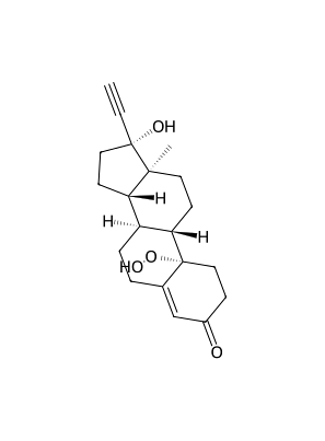 C#C[C@]1(O)CC[C@H]2[C@@H]3CCC4=CC(=O)CC[C@]4(OO)[C@H]3CC[C@@]21C